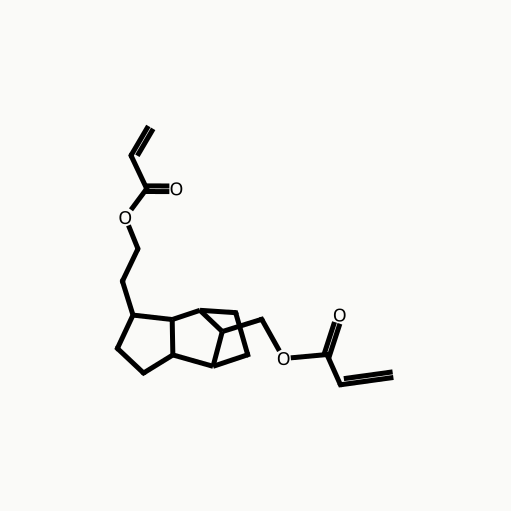 C=CC(=O)OCCC1CCC2C3CCC(C3COC(=O)C=C)C12